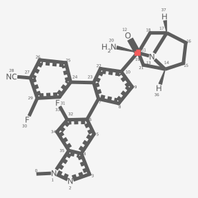 Cn1ncc2cc(-c3ccc(C(=O)N4[C@@H]5CC[C@H]4C[C@H](N)C5)cc3-c3ccc(C#N)c(F)c3)c(F)cc21